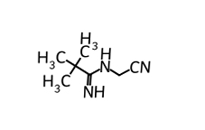 CC(C)(C)C(=N)NCC#N